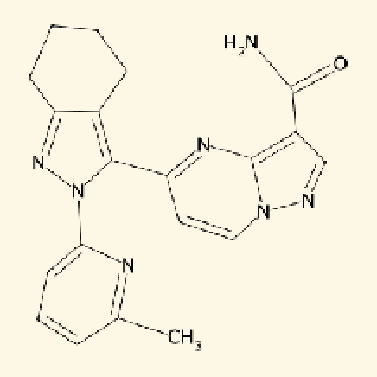 Cc1cccc(-n2nc3c(c2-c2ccn4ncc(C(N)=O)c4n2)CCCC3)n1